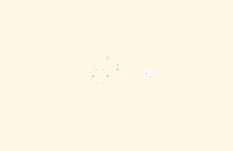 C[N+](C)(C)CCOC(=O)c1cccc(O)c1O.[I-]